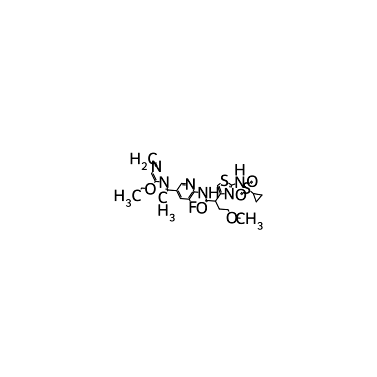 C=N/C=C(\N=C(/C)c1cnc(NC(=O)C(CCOC)c2csc(NS(=O)(=O)C3CC3)n2)c(F)c1)OCC